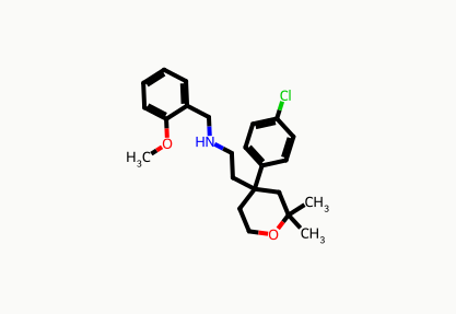 COc1ccccc1CNCCC1(c2ccc(Cl)cc2)CCOC(C)(C)C1